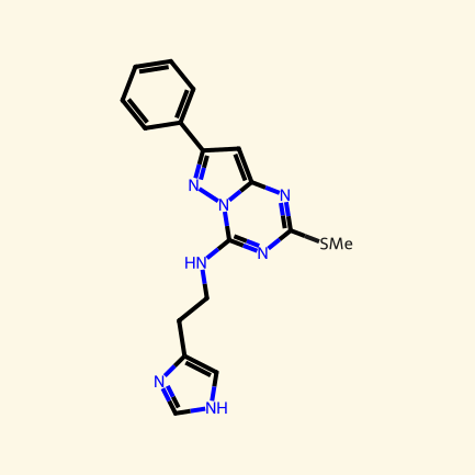 CSc1nc(NCCc2c[nH]cn2)n2nc(-c3ccccc3)cc2n1